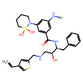 C=Cc1csc(CNC[C@H](O)[C@H](Cc2ccccc2)NC(=O)c2cc(NCC)cc(N3CCCCS3(O)O)c2)c1